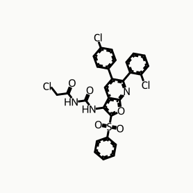 O=C(CCl)NC(=O)Nc1c(S(=O)(=O)c2ccccc2)oc2nc(-c3ccccc3Cl)c(-c3ccc(Cl)cc3)cc12